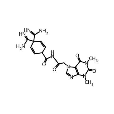 Cn1c(=O)c2c(ncn2CC(=O)NC(=O)C2C=CC(C(=N)N)(C(=N)N)C=C2)n(C)c1=O